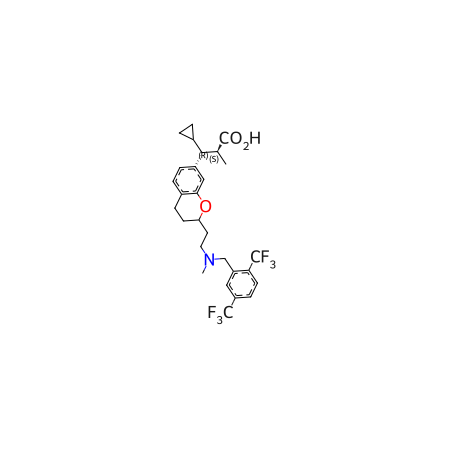 C[C@H](C(=O)O)[C@H](c1ccc2c(c1)OC(CCN(C)Cc1cc(C(F)(F)F)ccc1C(F)(F)F)CC2)C1CC1